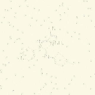 Cc1ccc(Nc2c(-c3ccncc3)nc3c(C#N)c[nH]n23)c(C)c1